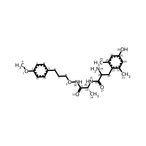 COc1ccc(CCCONC(=O)[C@@H](C)NC(=O)C(N)Cc2c(C)cc(O)cc2C)cc1